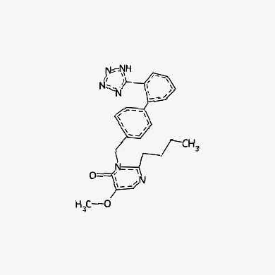 CCCCc1ncc(OC)c(=O)n1Cc1ccc(-c2ccccc2-c2nnn[nH]2)cc1